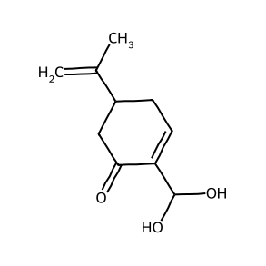 C=C(C)C1CC=C(C(O)O)C(=O)C1